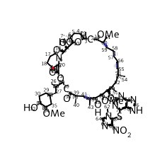 CO[C@H]1C[C@@H]2CC[C@@H](C)[C@@](O)(O2)C(=O)C(=O)N2CCCC[C@H]2C(=O)O[C@H]([C@H](C)C[C@@H]2CC[C@@H](O)[C@H](OC)C2)CC(=O)[C@H](C)/C=C(\C)[C@@H](O)[C@@H](OC)C(=O)[C@H](C)C[C@H](C)/C=C/C=C/C=C/1C.Cn1cnc([N+](=O)[O-])c1Sc1ncnc2nc[nH]c12